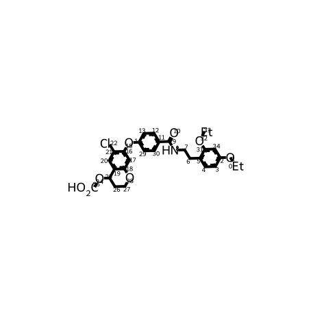 CCOc1ccc(CCNC(=O)c2ccc(Oc3cc4c(cc3Cl)C(OC(=O)O)CCO4)cc2)c(OCC)c1